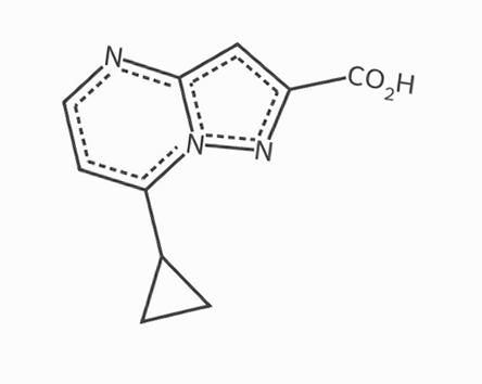 O=C(O)c1cc2nccc(C3CC3)n2n1